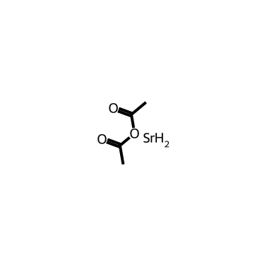 CC(=O)OC(C)=O.[SrH2]